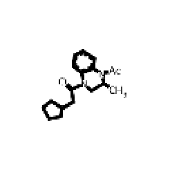 CC(=O)N1c2ccccc2N(C(=O)CC2CCCC2)CC1C